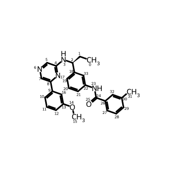 CC[C@H](Nc1cncc(-c2cccc(OC)c2)n1)c1cccc(NC(=O)c2cccc(C)c2)c1